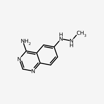 CNNc1ccc2ncnc(N)c2c1